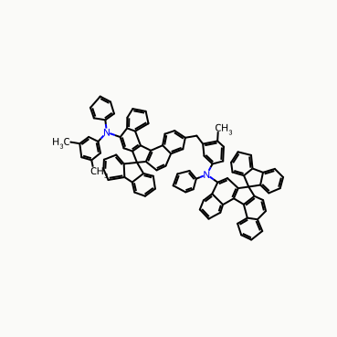 Cc1cc(C)cc(N(c2ccccc2)c2cc3c(c4ccccc24)-c2c(ccc4cc(Cc5cc(N(c6ccccc6)c6cc7c(c8ccccc68)-c6c(ccc8ccccc68)C76c7ccccc7-c7ccccc76)ccc5C)ccc24)C32c3ccccc3-c3ccccc32)c1